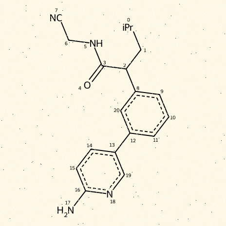 CC(C)CC(C(=O)NCC#N)c1cccc(-c2ccc(N)nc2)c1